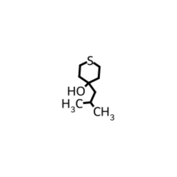 CC(C)CC1(O)CCSCC1